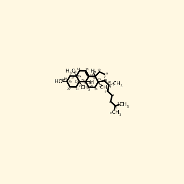 CC(C)CCC[C@@H](C)[C@H]1CC[C@H]2C3=CC[C@]4(C)C[C@H](O)CC[C@]4(C)[C@H]3CC[C@]12C